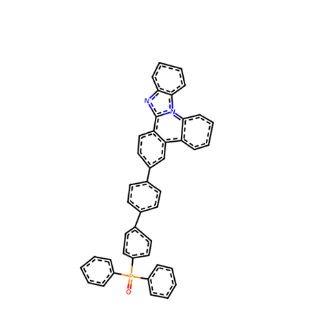 O=P(c1ccccc1)(c1ccccc1)c1ccc(-c2ccc(-c3ccc4c(c3)c3ccccc3n3c5ccccc5nc43)cc2)cc1